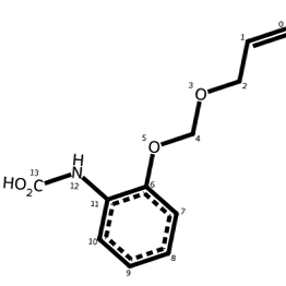 C=CCOCOc1ccccc1NC(=O)O